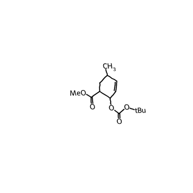 COC(=O)C1CC(C)C=CC1OC(=O)OC(C)(C)C